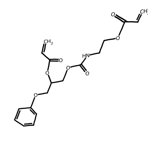 C=CC(=O)OCCNC(=O)OCC(COc1ccccc1)OC(=O)C=C